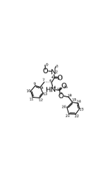 CON(C)C(=O)[C@@H](Cc1ccccc1)NC(=O)OCc1ccccc1